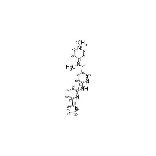 CN1CCC(N(C)Cc2ccc(Nc3cccc(-c4nccs4)n3)nc2)CC1